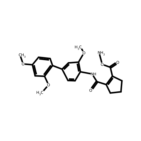 COc1ccc(-c2ccc(NC(=O)C3=C(C(=O)ON)CCC3)c(OC)c2)c(OC)c1